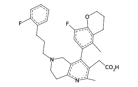 Cc1nc2c(c(-c3cc(F)c4c(c3C)CCCO4)c1CC(=O)O)CN(CCCc1ccccc1F)CC2